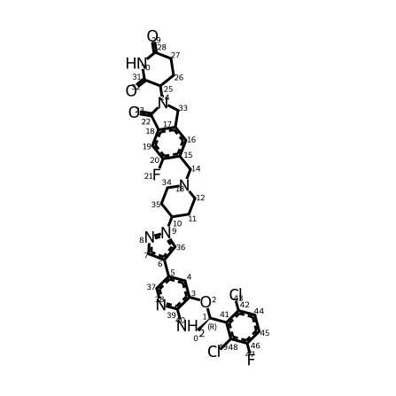 C[C@@H](Oc1cc(-c2cnn(C3CCN(Cc4cc5c(cc4F)C(=O)N(C4CCC(=O)NC4=O)C5)CC3)c2)cnc1N)c1c(Cl)ccc(F)c1Cl